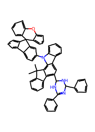 CC1(C)c2ccccc2-c2c(C3NC(c4ccccc4)=NC(c4ccccc4)N3)cc3c4ccccc4n(-c4ccc5c(c4)C4(c6ccccc6Oc6ccccc64)c4ccccc4-5)c3c21